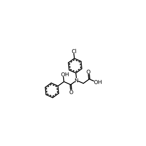 O=C(O)CN(C(=O)C(O)c1ccccc1)c1ccc(Cl)cc1